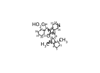 Cc1cccc2c1c(Cn1c(=O)n(C(CC(=O)O)c3ccccc3)c3ccncc31)cn2C